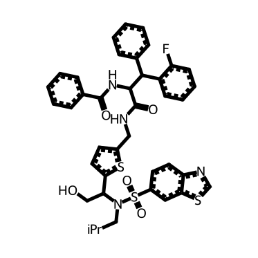 CC(C)CN(C(CO)c1ccc(CNC(=O)C(NC(=O)c2ccccc2)C(c2ccccc2)c2ccccc2F)s1)S(=O)(=O)c1ccc2ncsc2c1